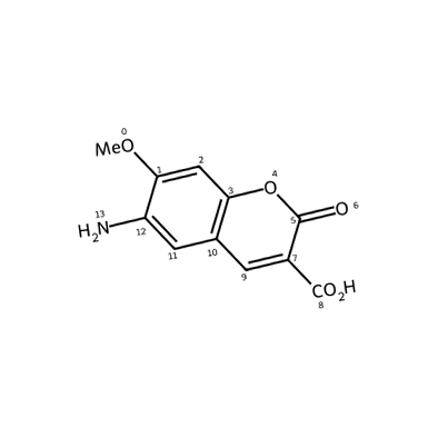 COc1cc2oc(=O)c(C(=O)O)cc2cc1N